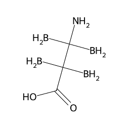 BC(B)(N)C(B)(B)C(=O)O